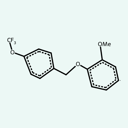 COc1c[c]ccc1OCc1ccc(OC(F)(F)F)cc1